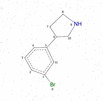 Brc1cccc(C2CCNC2)c1